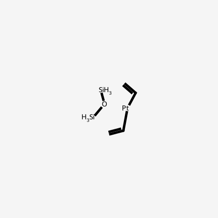 C=[CH][Pt][CH]=C.[SiH3]O[SiH3]